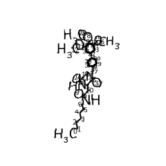 CCCCCCCNC(=O)CC1NC(=O)CN(Cc2ccc(-c3cc(OC)c(OC)c(OC)c3)cc2)C1=O